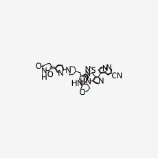 N#Cc1cnn2ccc(-c3nccc(NC4CCOCC4)c3C3SC=NN3N3C4CCC3(CC3CCN(c5ccc([C@@H]6CCC(=O)NC6=O)cn5)CC3)CNC4)c2c1